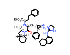 CCOC(=O)[C@H](CCc1ccccc1)N[C@@H](C)C(=O)N1[C@H](C(=O)O)C[C@H]2CCCC[C@@H]21.N[C@@H]1C[C@H]1c1ccccc1.c1cc2c(c(NC3=NCCN3)c1)CCCC2